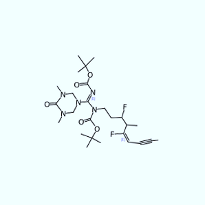 CC#C/C=C(/F)C(C)C(F)CCN(C(=O)OC(C)(C)C)/C(=N/C(=O)OC(C)(C)C)N1CN(C)C(=O)N(C)C1